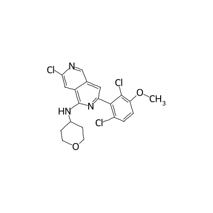 COc1ccc(Cl)c(-c2cc3cnc(Cl)cc3c(NC3CCOCC3)n2)c1Cl